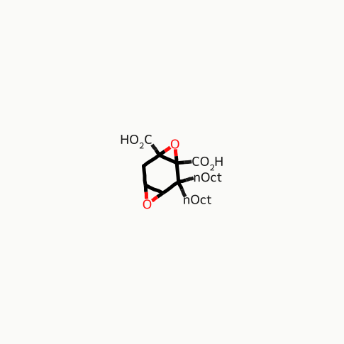 CCCCCCCCC1(CCCCCCCC)C2OC2CC2(C(=O)O)OC21C(=O)O